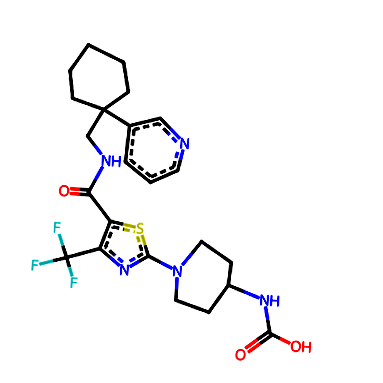 O=C(O)NC1CCN(c2nc(C(F)(F)F)c(C(=O)NCC3(c4cccnc4)CCCCC3)s2)CC1